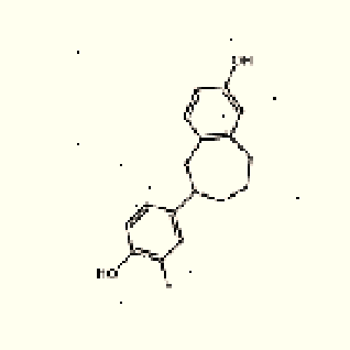 Oc1ccc2c(c1)CCCC(c1ccc(O)c(F)c1)C2